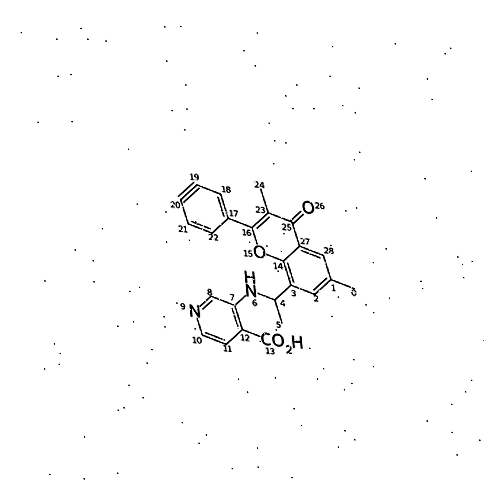 Cc1cc(C(C)Nc2cnccc2C(=O)O)c2oc(-c3cc#ccc3)c(C)c(=O)c2c1